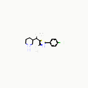 COC(c1sc(-c2ccc(Cl)cc2)nc1C)C1CCCNC1